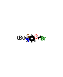 CC(C)(C)c1nc2ccc(OCCBr)cc2s1